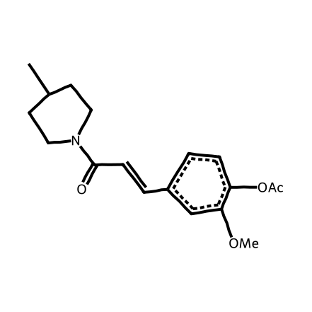 COc1cc(/C=C/C(=O)N2CCC(C)CC2)ccc1OC(C)=O